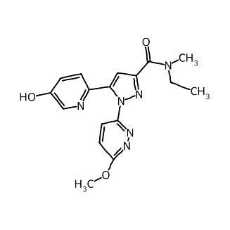 CCN(C)C(=O)c1cc(-c2ccc(O)cn2)n(-c2ccc(OC)nn2)n1